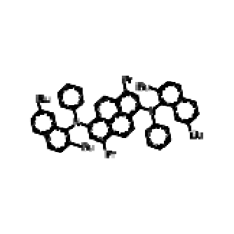 CCC(C)c1ccc2ccc(C(C)CC)c(N(c3ccccc3)c3cc(C(C)C)c4ccc5c(N(c6ccccc6)c6c(C(C)CC)ccc7ccc(C(C)CC)cc67)cc(C(C)C)c6ccc3c4c65)c2c1